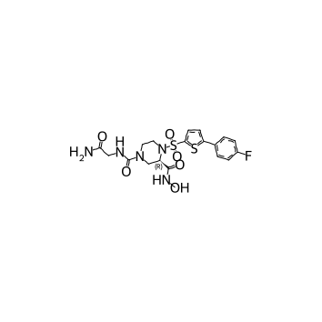 NC(=O)CNC(=O)N1CCN(S(=O)(=O)c2ccc(-c3ccc(F)cc3)s2)[C@@H](C(=O)NO)C1